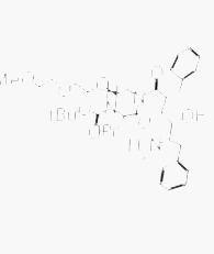 COCCOCCOCCN(C(=O)C(NC(=O)OC(C)(C)C)C(C)C)C(=O)[C@H](Cc1ccccc1)C[C@H](O)[C@@H](N)Cc1ccccc1